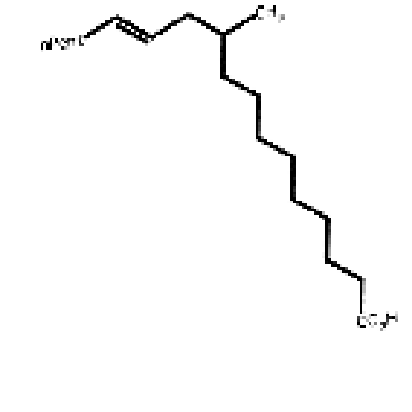 CCCCCC=CCC(C)CCCCCCCCC(=O)O